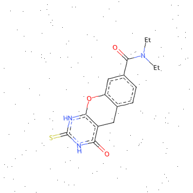 CCN(CC)C(=O)c1ccc2c(c1)Oc1[nH]c(=S)[nH]c(=O)c1C2